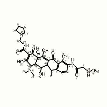 CC1c2ccc(NC(=O)CNC(C)(C)C)c(O)c2C(=O)C2=C(O)[C@]3(O)C(=O)C(C(=O)NCN4CCCC4)=C(O)[C@@H](N(C)C)C3C(O)C21